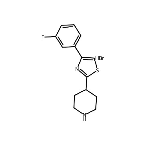 Br.Fc1cccc(-c2csc(C3CCNCC3)n2)c1